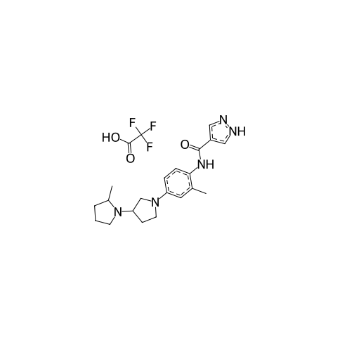 Cc1cc(N2CCC(N3CCCC3C)C2)ccc1NC(=O)c1cn[nH]c1.O=C(O)C(F)(F)F